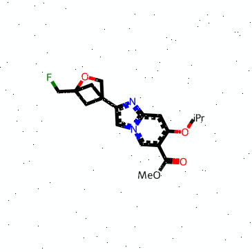 COC(=O)c1cn2cc(C34COC(CF)(C3)C4)nc2cc1OC(C)C